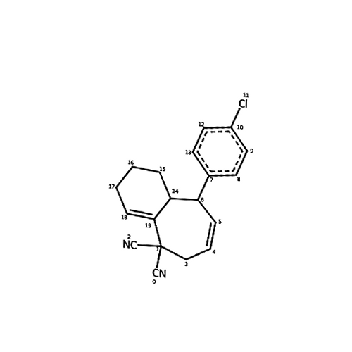 N#CC1(C#N)CC=CC(c2ccc(Cl)cc2)C2CCCC=C21